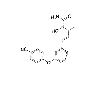 CC(C=Cc1cccc(Oc2ccc(C#N)cc2)c1)N(O)C(N)=O